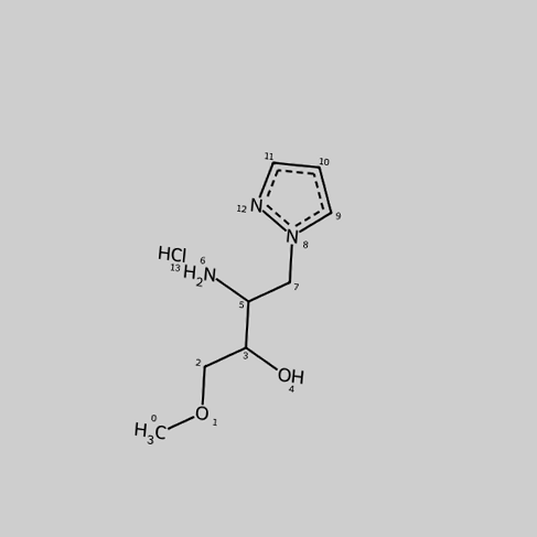 COCC(O)C(N)Cn1cccn1.Cl